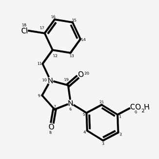 O=C(O)c1cccc(N2C(=O)CN(CC3CC=CC=C3Cl)C2=O)c1